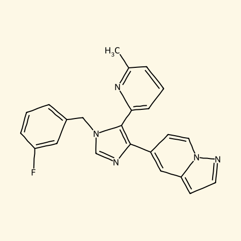 Cc1cccc(-c2c(-c3ccn4nccc4c3)ncn2Cc2cccc(F)c2)n1